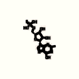 Cc1nc(O)c2ncn([C@@H]3O[C@H](COP(O)(O)=S)C(O)C3O)c2n1